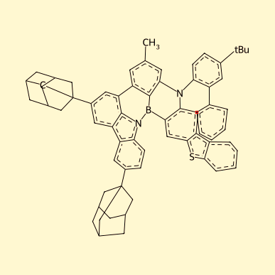 Cc1cc2c3c(c1)N(c1ccc(C(C)(C)C)cc1-c1ccccc1)c1cc4c(cc1B3n1c3ccc(C56CC7CC(CC(C7)C5)C6)cc3c3cc(C56CC7CC(CC(C7)C5)C6)cc-2c31)sc1ccccc14